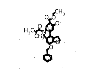 CCOC(=O)c1cn2c(cc1=O)-c1c(cc(OCc3ccccc3)c3c1CCO3)CN2C(=O)C(C)C